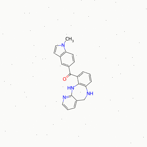 Cn1ccc2cc(C(=O)c3cccc4c3Nc3ncccc3CN4)ccc21